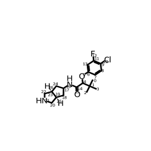 CC(C)(C)C(Oc1ccc(Cl)c(F)c1)C(=O)NC1C[C@H]2CNC[C@H]2C1